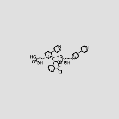 ClC(Cl)c1ccccc1C(Cl)Cl.O=P(O)(O)CC[n+]1ccc(-c2ccncc2)cc1.O=P(O)(O)CC[n+]1ccc(-c2ccncc2)cc1